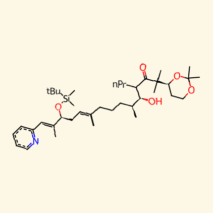 CCCC(C(=O)C(C)(C)[C@@H]1CCOC(C)(C)O1)[C@@H](O)[C@@H](C)CCC/C(C)=C/C[C@H](O[Si](C)(C)C(C)(C)C)/C(C)=C/c1ccccn1